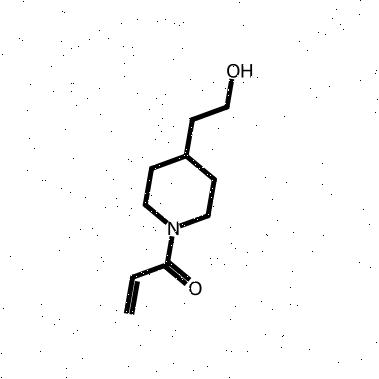 C=CC(=O)N1CCC(CCO)CC1